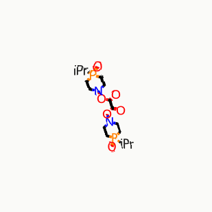 CC(C)P1(=O)CCN(OC(=O)C(=O)ON2CCP(=O)(C(C)C)CC2)CC1